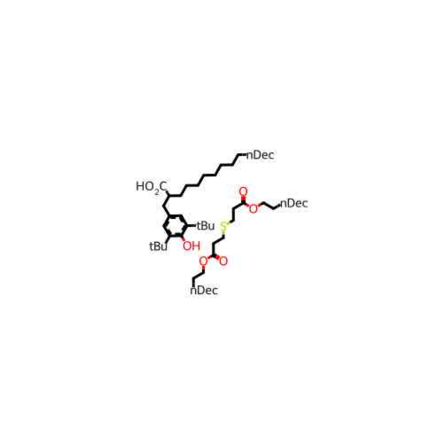 CCCCCCCCCCCCCCCCCCC(Cc1cc(C(C)(C)C)c(O)c(C(C)(C)C)c1)C(=O)O.CCCCCCCCCCCCOC(=O)CCSCCC(=O)OCCCCCCCCCCCC